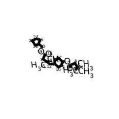 CC(C)(C)CC(=O)OC1CCC(CC(C)(C)CC(=O)OCC2CCCC2)CC1